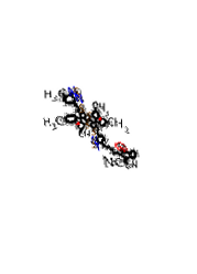 Cc1ccc(C2(c3ccc(C)cc3)c3cc(-c4ccc(C)c5nsnc45)sc3-c3sc4c5c(sc4c32)-c2sc(-c3ccc(CC/C=C4\C(=O)c6ccccc6C4=C(C#N)C#N)c4nsnc34)cc2C5(c2ccc(C)cc2)c2ccc(C)cc2)cc1